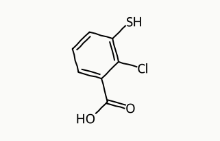 O=C(O)c1cccc(S)c1Cl